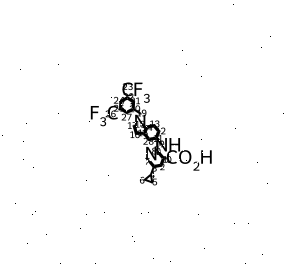 O=C(O)c1cc(C2CC2)cnc1Nc1ccc2c(ccn2Cc2cc(C(F)(F)F)cc(C(F)(F)F)c2)c1